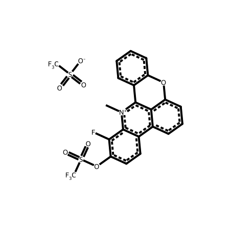 C[n+]1c2c3c(cccc3c3ccc(OS(=O)(=O)C(F)(F)F)c(F)c31)Oc1ccccc1-2.O=S(=O)([O-])C(F)(F)F